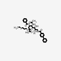 CCSCCCO[C@]1(C(=O)O)C[C@H](OC(=O)c2ccccc2)C(NC(C)=O)[C@H]([C@H](O)[C@H](O)CNC(=O)c2ccc(-c3ccccc3)cc2)O1